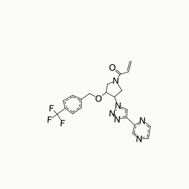 C=CC(=O)N1CC(OCc2ccc(C(F)(F)F)cc2)C(n2cc(-c3cnccn3)nn2)C1